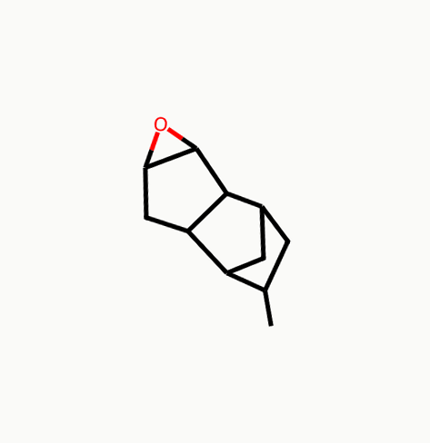 CC1CC2CC1C1CC3OC3C21